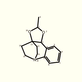 CC1OC2c3ccccc3N3CCC2(CC3)O1